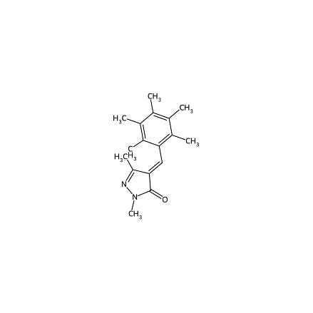 CC1=NN(C)C(=O)C1=Cc1c(C)c(C)c(C)c(C)c1C